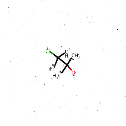 CC(C)C(C)(Cl)C(C)(C)[O]